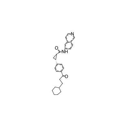 O=C(CCC1CCCCC1)c1ccc([C@@H]2C[C@H]2C(=O)Nc2ccc3cnccc3c2)cc1